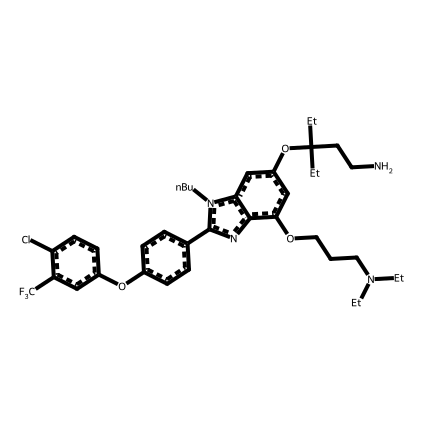 CCCCn1c(-c2ccc(Oc3ccc(Cl)c(C(F)(F)F)c3)cc2)nc2c(OCCCN(CC)CC)cc(OC(CC)(CC)CCN)cc21